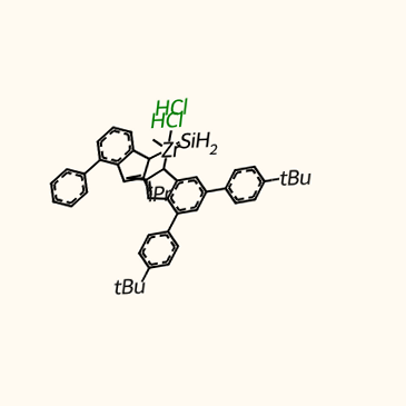 CC1=Cc2c(-c3ccc(C(C)(C)C)cc3)cc(-c3ccc(C(C)(C)C)cc3)cc2[CH]1[Zr]([CH3])([CH3])(=[SiH2])[CH]1C(C(C)C)=Cc2c(-c3ccccc3)cccc21.Cl.Cl